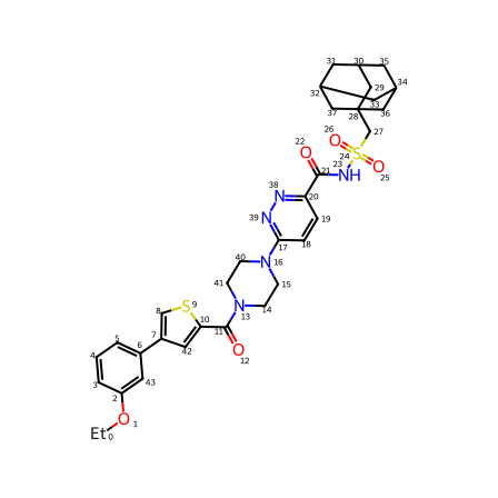 CCOc1cccc(-c2csc(C(=O)N3CCN(c4ccc(C(=O)NS(=O)(=O)CC56CC7CC(CC(C7)C5)C6)nn4)CC3)c2)c1